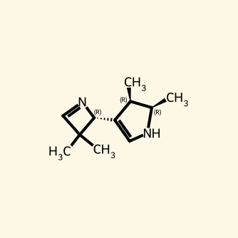 C[C@@H]1C([C@H]2N=CC2(C)C)=CN[C@@H]1C